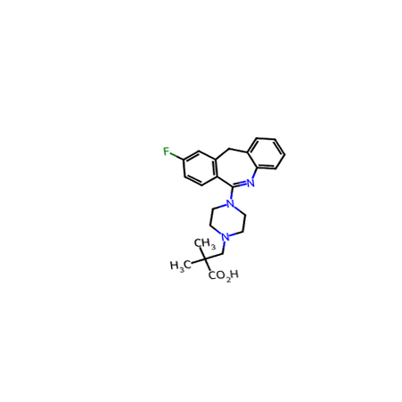 CC(C)(CN1CCN(C2=Nc3ccccc3Cc3cc(F)ccc32)CC1)C(=O)O